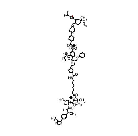 Cc1ncsc1-c1ccc([C@H](C)NC(=O)[C@@H]2C[C@@H](O)CN2C(=O)[C@@H](NC(=O)CCCCCCNC(=O)[C@@H]2CCN(CC[C@H](CSc3ccccc3)Nc3ccc(S(=O)(=O)NC(=O)c4ccc(N5CCN(CC6=C(C78CC(C(F)F)(C7)C8)CC(C)(C)CC6)CC5)cc4)cc3S(=O)(=O)C(F)(F)F)C2)C(C)(C)C)cc1